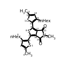 CCCCCCc1cc(C)sc1-c1sc(-c2sc(C)cc2CCCCCC)c2c1C(=O)N(C)C2=O